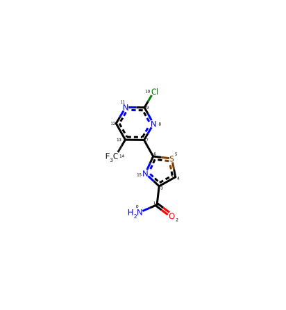 NC(=O)c1csc(-c2nc(Cl)ncc2C(F)(F)F)n1